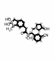 CN(C(=O)Cc1ccc2c(c1)N(C)S(O)(O)C2)[C@H](CN1CCC(O)C1)c1cccc(C#N)c1